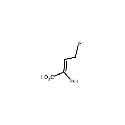 CC(C)CC=C(O)C(=O)O